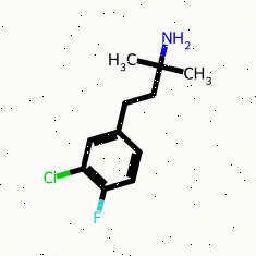 CC(C)(N)CCc1ccc(F)c(Cl)c1